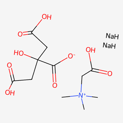 C[N+](C)(C)CC(=O)O.O=C(O)CC(O)(CC(=O)O)C(=O)[O-].[NaH].[NaH]